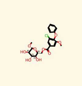 COc1cc(C(=O)OC[C@H]2O[C@@H](OC)[C@H](O)[C@@H](O)[C@@H]2O)cc(Cl)c1Oc1ccccc1